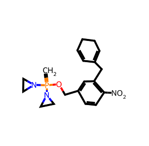 C=P(OCc1ccc([N+](=O)[O-])c(CC2=CCCC=C2)c1)(N1CC1)N1CC1